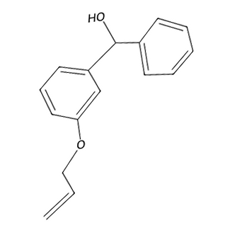 C=CCOc1cccc(C(O)c2ccccc2)c1